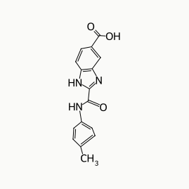 Cc1ccc(NC(=O)c2nc3cc(C(=O)O)ccc3[nH]2)cc1